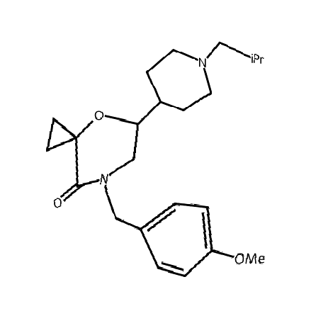 COc1ccc(CN2CC(C3CCN(CC(C)C)CC3)OC3(CC3)C2=O)cc1